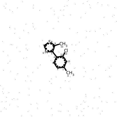 Cc1ccc(-c2ncsc2C)c(Cl)c1